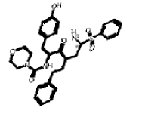 N[C@H](CC(CCc1ccccc1)C(=O)C(Cc1ccc(O)cc1)NC(=O)N1CCOCC1)S(=O)(=O)c1ccccc1